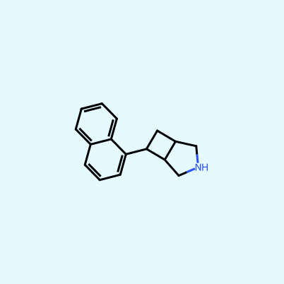 c1ccc2c(C3CC4CNCC43)cccc2c1